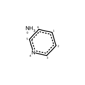 N.c1ccncc1